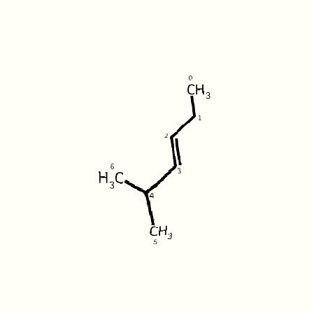 CCC=CC(C)C